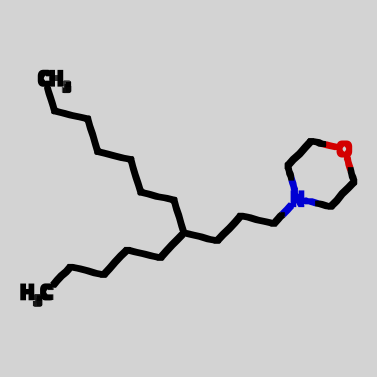 CCCCCCCC(CCCCC)CCCN1CCOCC1